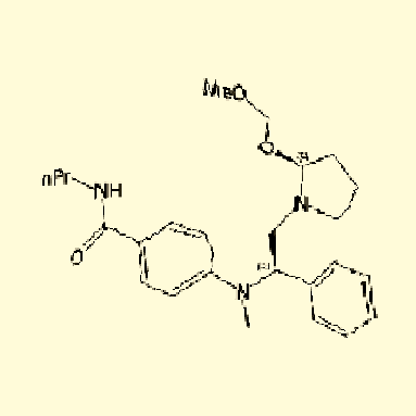 CCCNC(=O)c1ccc(N(C)[C@@H](CN2CCC[C@@H]2OCOC)c2ccccc2)cc1